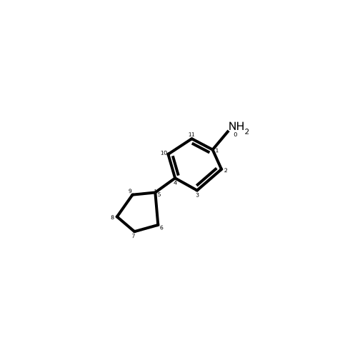 Nc1ccc([C]2CCCC2)cc1